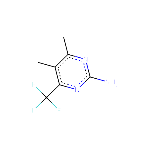 Cc1nc(N)nc(C(F)(F)F)c1C